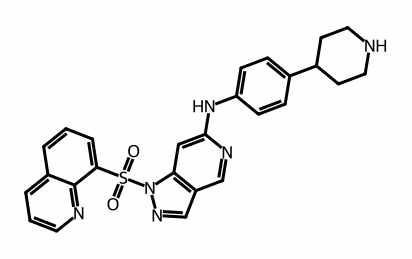 O=S(=O)(c1cccc2cccnc12)n1ncc2cnc(Nc3ccc(C4CCNCC4)cc3)cc21